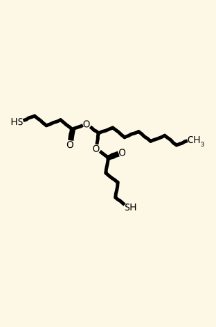 CCCCCCCC(OC(=O)CCCS)OC(=O)CCCS